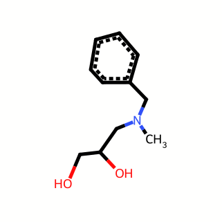 CN(Cc1ccccc1)CC(O)CO